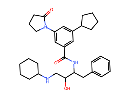 O=C(NC(Cc1ccccc1)C(O)CNC1CCCCC1)c1cc(C2CCCC2)cc(N2CCCC2=O)c1